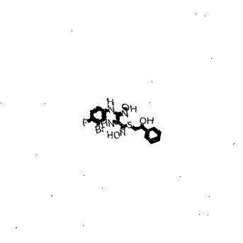 N=C(/C(=N/O)Nc1ccc(F)c(Br)c1)/C(=N\O)SCC(O)c1ccccc1